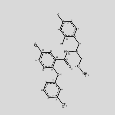 Cc1ccc(CC(CON)NC(=O)c2cc(Cl)nnc2Oc2cccc(C(F)(F)F)c2)c(C)c1